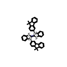 CC1(C)c2ccccc2-c2cc(N3/C(=C4\Sc5ccccc5N4c4ccc5c(c4)-c4ccccc4C5(C)C)Sc4ccccc43)ccc21